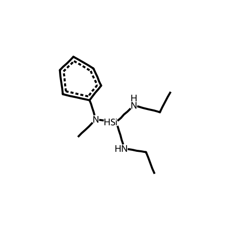 CCN[SiH](NCC)N(C)c1ccccc1